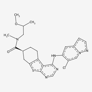 COC(C)CN(C)C(=O)[C@H]1CCc2c(sc3ncnc(Nc4cc5ccnn5cc4Cl)c23)C1